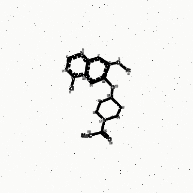 CCOc1cc2ncnc(Cl)c2cc1OC1CCN(C(=O)OC)CC1